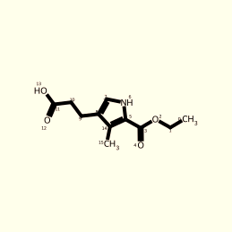 CCOC(=O)c1[nH][c]c(CCC(=O)O)c1C